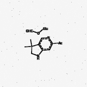 CC(=O)c1cc2c(cn1)C(C)(C)CN2.CC(C)(C)OC=O